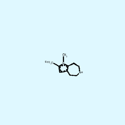 CCOC(=O)c1cc2c(n1C)CCNCC2